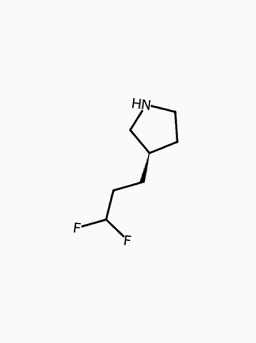 FC(F)CC[C@@H]1CCNC1